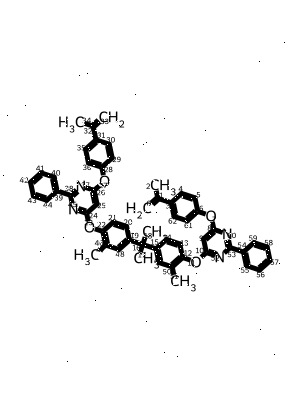 C=C(C)c1ccc(Oc2cc(Oc3ccc(C(C)(C)c4ccc(Oc5cc(Oc6ccc(C(=C)C)cc6)nc(-c6ccccc6)n5)c(C)c4)cc3C)nc(-c3ccccc3)n2)cc1